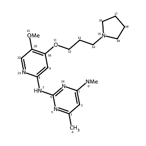 CNc1cc(C)nc(Nc2cc(OCCCN3CCCC3)c(OC)cn2)n1